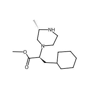 COC(=O)[C@H](CC1CCCCC1)N1CCN[C@@H](C)C1